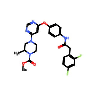 CC1CN(c2cc(Oc3ccc(NC(=O)Cc4ccc(F)cc4F)cc3)ncn2)CCN1C(=O)OC(C)(C)C